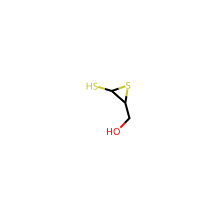 OCC1SC1S